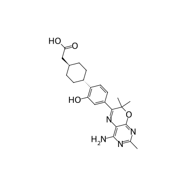 Cc1nc(N)c2c(n1)OC(C)(C)C(c1ccc([C@H]3CC[C@H](CC(=O)O)CC3)c(O)c1)=N2